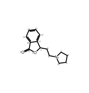 O=C1OC(CCN2CCCC2)c2ccccc21